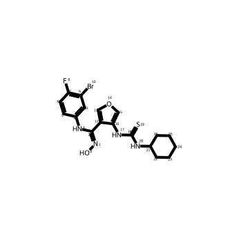 O/N=C(\Nc1ccc(F)c(Br)c1)c1cocc1NC(=S)NC1CCCCC1